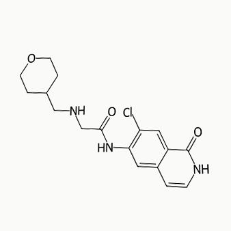 O=C(CNCC1CCOCC1)Nc1cc2cc[nH]c(=O)c2cc1Cl